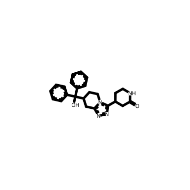 O=C1CC(c2nnc3n2CCC(C(O)(c2ccccc2)c2ccccc2)C3)CCN1